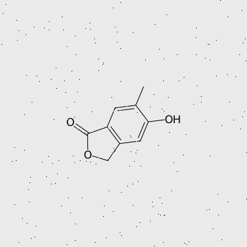 Cc1cc2c(cc1O)COC2=O